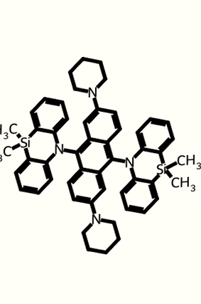 C[Si]1(C)c2ccccc2N(c2c3ccc(N4CCCCC4)cc3c(N3c4ccccc4[Si](C)(C)c4ccccc43)c3ccc(N4CCCCC4)cc23)c2ccccc21